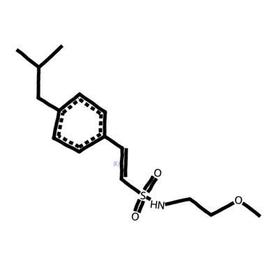 COCCNS(=O)(=O)/C=C/c1ccc(CC(C)C)cc1